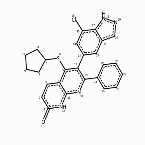 O=c1ccc2c(SC3CCCC3)c(-c3cc(Cl)c4[nH]ncc4c3)c(-c3ccccc3)nc2[nH]1